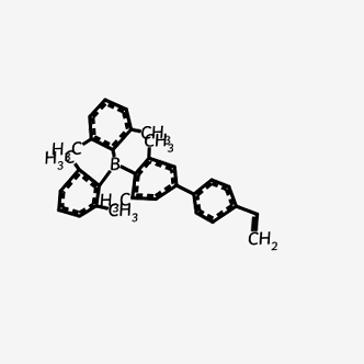 C=Cc1ccc(-c2cc(C)c(B(c3c(C)cccc3C)c3c(C)cccc3C)c(C)c2)cc1